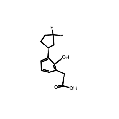 O=C(O)Cc1cccc([C@H]2CCC(F)(F)C2)c1O